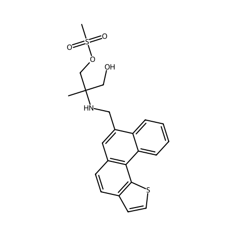 CC(CO)(COS(C)(=O)=O)NCc1cc2ccc3ccsc3c2c2ccccc12